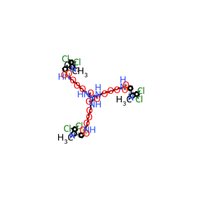 CN1Cc2c(Cl)cc(Cl)cc2[C@H](c2cccc(S(=O)(=O)NCCOCCOCCOCCNC(=O)CN(CC(=O)NCCOCCOCCOCCNS(=O)(=O)C3=CC(C)([C@@H]4CN(C)Cc5c(Cl)cc(Cl)cc54)CC=C3)CC(=O)NCCOCCOCCOCCNS(=O)(=O)c3cccc([C@@H]4CN(C)Cc5c(Cl)cc(Cl)cc54)c3)c2)C1